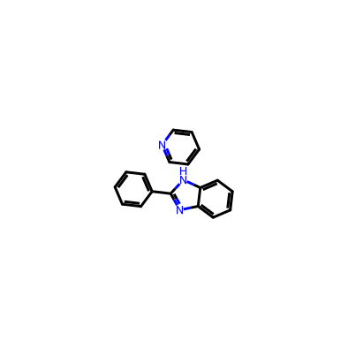 c1ccc(-c2nc3ccccc3[nH]2)cc1.c1ccncc1